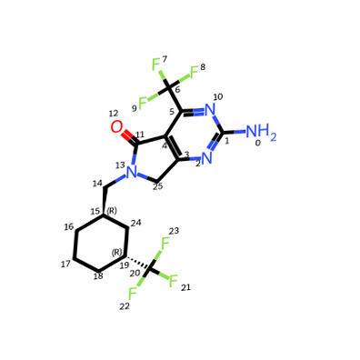 Nc1nc2c(c(C(F)(F)F)n1)C(=O)N(C[C@@H]1CCC[C@@H](C(F)(F)F)C1)C2